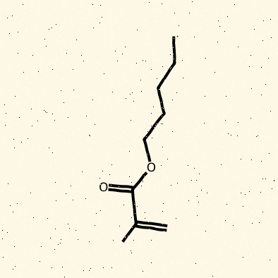 [CH2]CCCCOC(=O)C(=C)C